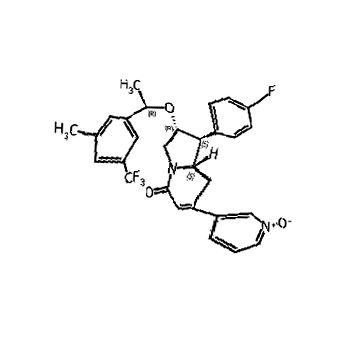 Cc1cc([C@@H](C)O[C@H]2CN3C(=O)C=C(c4ccc[n+]([O-])c4)C[C@H]3[C@@H]2c2ccc(F)cc2)cc(C(F)(F)F)c1